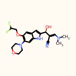 CN(C)/C=C(\C#N)[C@H](O)c1cc2cc(OCC(F)F)c(N3CCOCC3)cc2[nH]1